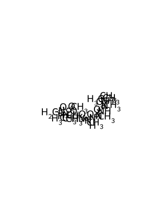 C=C1C[C@H]2C(C)N(C(C)(C)C)c3cc(OCCCC(=O)Nc4cc(C(=O)Nc5cc(C(=O)Nc6cc(C(=O)NC(C)(C)C)n(C)c6)n(C)c5)n(C)c4)c(OC)cc3C(=O)N2C1